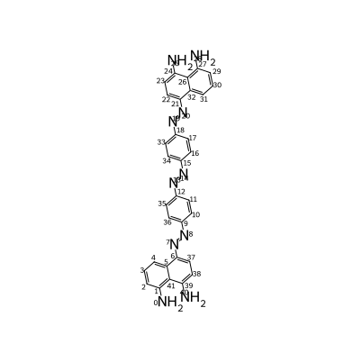 Nc1cccc2c(N=Nc3ccc(N=Nc4ccc(N=Nc5ccc(N)c6c(N)cccc56)cc4)cc3)ccc(N)c12